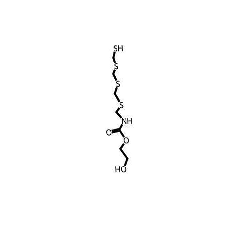 O=C(NCSCSCSCS)OCCO